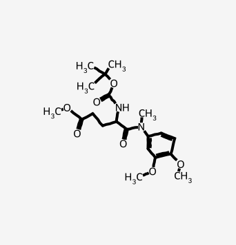 COC(=O)CCC(NC(=O)OC(C)(C)C)C(=O)N(C)c1ccc(OC)c(OC)c1